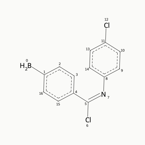 Bc1ccc(/C(Cl)=N\c2ccc(Cl)cc2)cc1